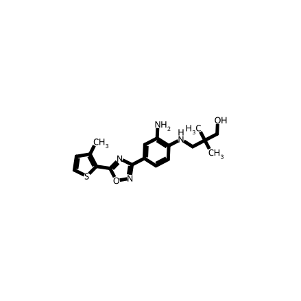 Cc1ccsc1-c1nc(-c2ccc(NCC(C)(C)CO)c(N)c2)no1